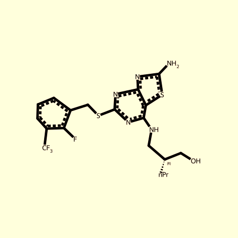 CCC[C@@H](CO)CNc1nc(SCc2cccc(C(F)(F)F)c2F)nc2nc(N)sc12